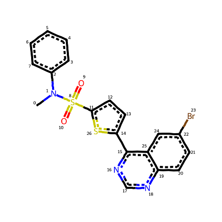 CN(c1ccccc1)S(=O)(=O)c1ccc(-c2ncnc3ccc(Br)cc23)s1